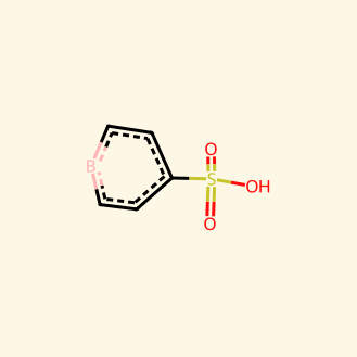 O=S(=O)(O)c1ccbcc1